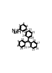 [LiH].[Na][c]1ccccc1.c1ccc(C(c2ccccc2)c2ccccc2)cc1